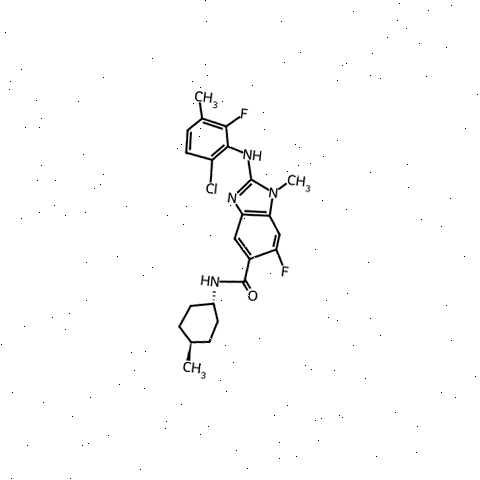 Cc1ccc(Cl)c(Nc2nc3cc(C(=O)N[C@H]4CC[C@H](C)CC4)c(F)cc3n2C)c1F